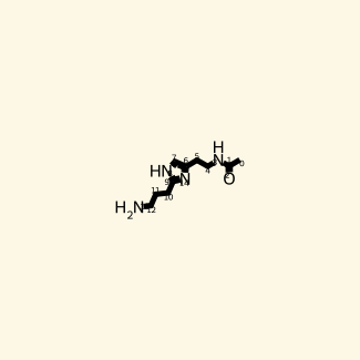 CC(=O)NCCc1c[nH]c(CCCN)n1